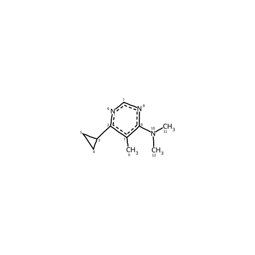 Cc1c(C2CC2)ncnc1N(C)C